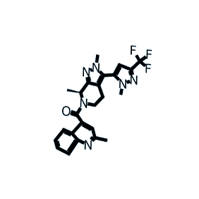 Cc1cc(C(=O)N2CCc3c(nn(C)c3-c3cc(C(F)(F)F)nn3C)[C@@H]2C)c2ccccc2n1